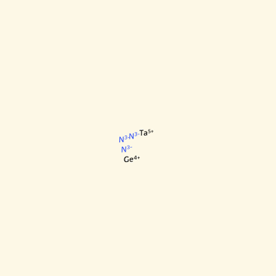 [Ge+4].[N-3].[N-3].[N-3].[Ta+5]